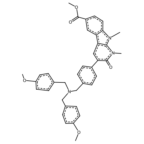 COC(=O)c1ccc2c(c1)c1cc(-c3ccc(CN(Cc4ccc(OC)cc4)Cc4ccc(OC)cc4)cc3)c(=O)n(C)c1n2C